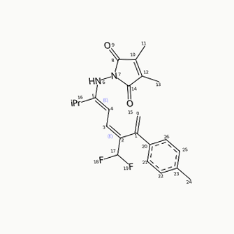 C=C(/C(=C\C=C(\NN1C(=O)C(C)=C(C)C1=O)C(C)C)C(F)F)c1ccc(C)cc1